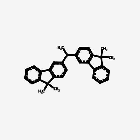 CN(c1ccc2c(c1)-c1ccccc1C2(C)C)c1ccc2c(c1)-c1ccccc1C2(C)C